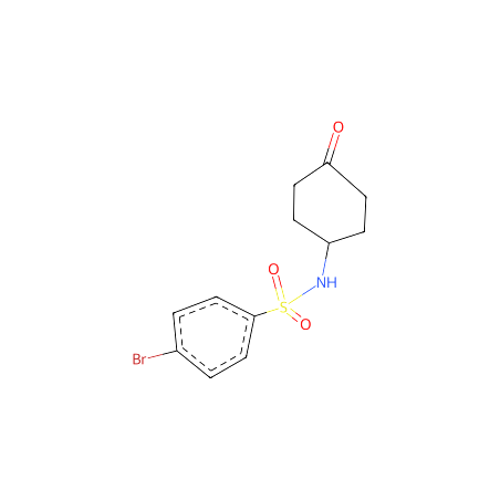 O=C1CCC(NS(=O)(=O)c2ccc(Br)cc2)CC1